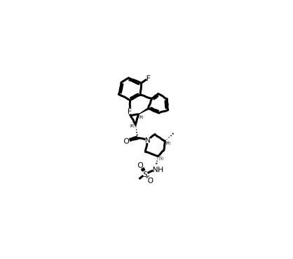 C[C@@H]1C[C@H](NS(C)(=O)=O)CN(C(=O)[C@@H]2C[C@H]2c2ccccc2-c2c(F)cccc2F)C1